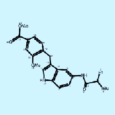 CCCCC(CC)C(=O)Nc1ccc2[nH]cc(Cc3ccc(C(=O)OC)cc3OC)c2c1